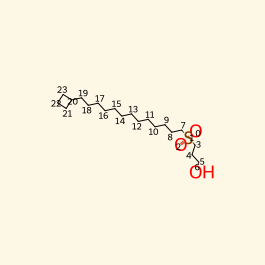 O=S(=O)(CCCO)CCCCCCCCCCCCCC1CCC1